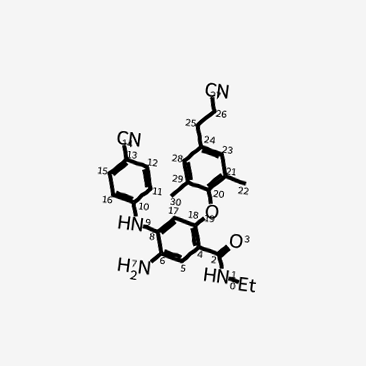 CCNC(=O)c1cc(N)c(Nc2ccc(C#N)cc2)cc1Oc1c(C)cc(CCC#N)cc1C